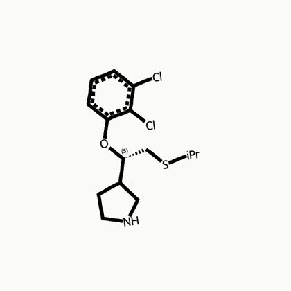 CC(C)SC[C@@H](Oc1cccc(Cl)c1Cl)C1CCNC1